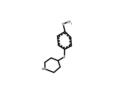 FC(F)(F)Oc1ccc(SC2CCNCC2)cc1